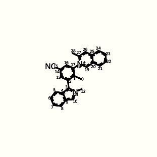 Cc1c(-c2c3ccccc3cn2C)cc(C#N)cc1-[n+]1cc2ccccc2cc1C